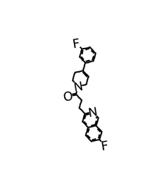 O=C(CCc1cc2ccc(F)cc2cn1)N1CC=C(c2cccc(F)c2)CC1